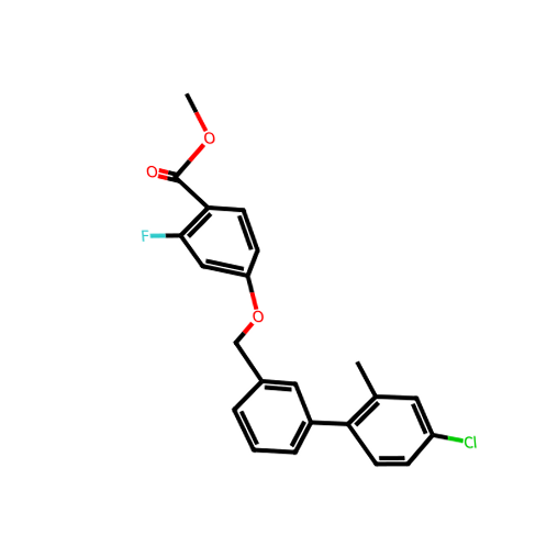 COC(=O)c1ccc(OCc2cccc(-c3ccc(Cl)cc3C)c2)cc1F